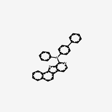 c1ccc(-c2ccc(N(c3ccccc3)c3nccc4c3sc3c5ccccc5ccc43)cc2)cc1